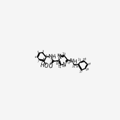 O=C(Nc1ccccc1O)c1cnc(NCc2ccccc2)cn1